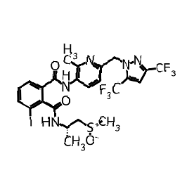 Cc1nc(Cn2nc(C(F)(F)F)cc2C(F)(F)F)ccc1NC(=O)c1cccc(I)c1C(=O)N[C@@H](C)C[S+](C)[O-]